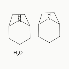 C1CC2CCC(C1)N2.C1CC2CCC(C1)N2.O